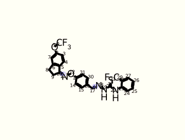 FC(F)(F)Oc1ccc2c(c1)CC/C2=N/Oc1ccc(/C=N/NC(=S)Nc2ccccc2C(F)(F)F)cc1